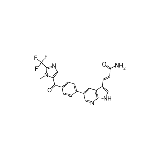 Cn1c(C(=O)c2ccc(-c3cnc4[nH]cc(C=CC(N)=O)c4c3)cc2)cnc1C(F)(F)F